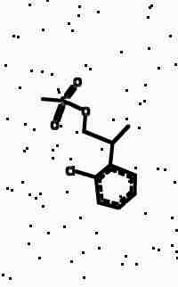 CC(COS(C)(=O)=O)c1ccccc1Cl